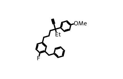 C#CC(CC)(CCCc1ccc(F)c(Cc2ccccc2)c1)c1ccc(OC)cc1